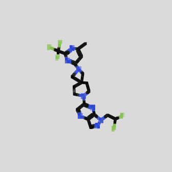 Cc1cc(N2CC3(CCN(c4cnc5cnn(CC(F)F)c5n4)CC3)C2)nc(C(F)(F)F)n1